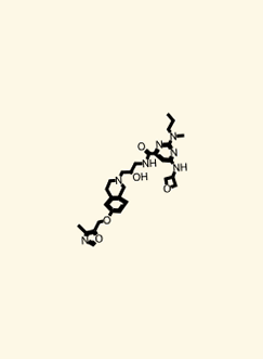 CCCN(C)c1nc(NC2COC2)cc(C(=O)NCC(O)CN2CCc3cc(OCc4ocnc4C)ccc3C2)n1